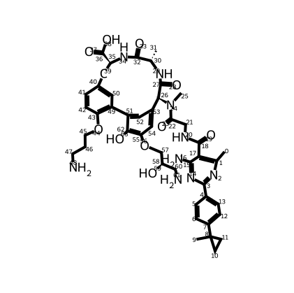 Cc1nc(-c2ccc(C3(C)CC3)cc2)nc(N)c1C(=O)NCC(=O)N(C)[C@@H]1C(=O)N[C@@H](C)C(=O)N[C@H](C(=O)O)Cc2ccc(OCCCN)c(c2)-c2cc1cc(OC[C@H](O)CN)c2O